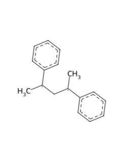 C[C](C[C](C)c1ccccc1)c1ccccc1